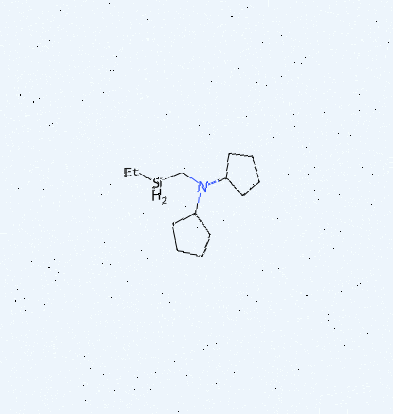 CC[SiH2]CN(C1CCCC1)C1CCCC1